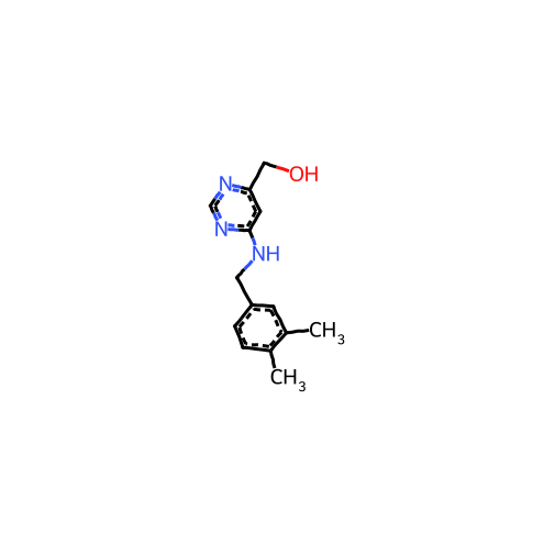 Cc1ccc(CNc2cc(CO)ncn2)cc1C